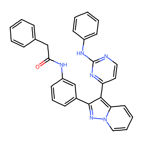 O=C(Cc1ccccc1)Nc1cccc(-c2nn3ccccc3c2-c2ccnc(Nc3ccccc3)n2)c1